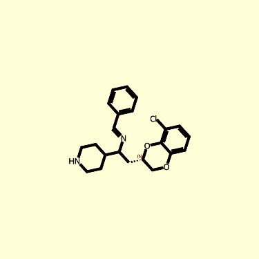 Clc1cccc2c1O[C@@H](CC(N=Cc1ccccc1)C1CCNCC1)CO2